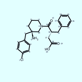 N[C@@]1(Cc2ccc(Cl)cc2)CCCN(C(=O)[C@@H](CC(=O)O)Cc2ccccc2)C1